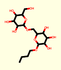 CCCCOC1OC(COC2OC(CO)C(O)C(O)C2O)C(O)C(O)C1O